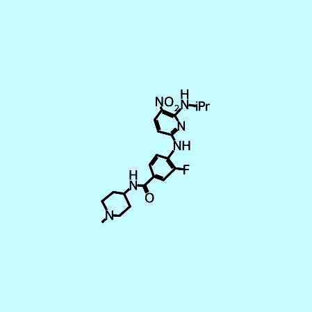 CC(C)Nc1nc(Nc2ccc(C(=O)NC3CCN(C)CC3)cc2F)ccc1[N+](=O)[O-]